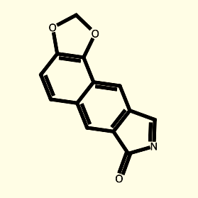 O=C1N=Cc2cc3c4c(ccc3cc21)OCO4